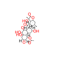 CC(=O)O[C@H]1[C@H]2O[C@H]2C[C@]2(O)[C@@H](O)C(=O)[C@H]3[C@@H]4C(=O)[C@@H]5[C@H]([C@H](C)CC6OC(=O)[C@@](C)(O)[C@@]65C)[C@@]4(C)[C@@H](O)C[C@@H]3[C@@]12C